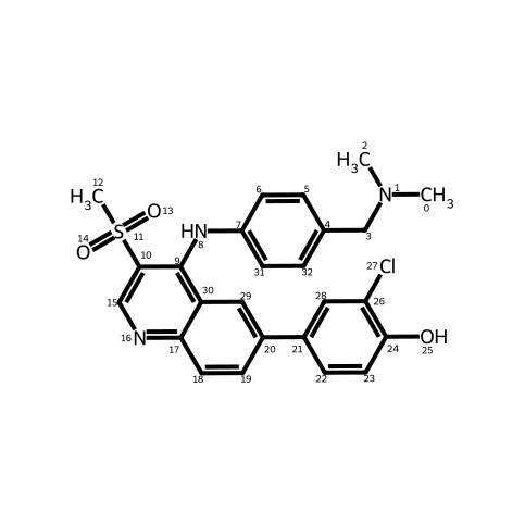 CN(C)Cc1ccc(Nc2c(S(C)(=O)=O)cnc3ccc(-c4ccc(O)c(Cl)c4)cc23)cc1